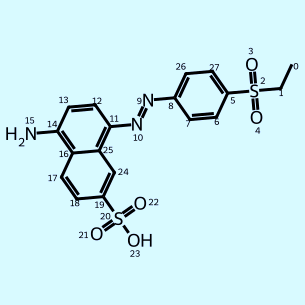 CCS(=O)(=O)c1ccc(/N=N/c2ccc(N)c3ccc(S(=O)(=O)O)cc23)cc1